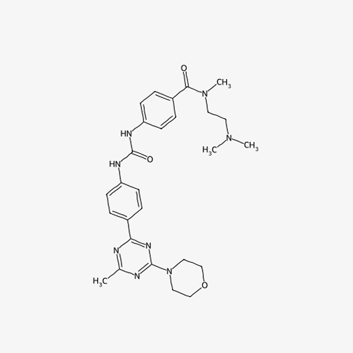 Cc1nc(-c2ccc(NC(=O)Nc3ccc(C(=O)N(C)CCN(C)C)cc3)cc2)nc(N2CCOCC2)n1